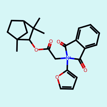 CC12CCC(C1)C(C)(C)C2OC(=O)C[N+]1(c2ccco2)C(=O)c2ccccc2C1=O